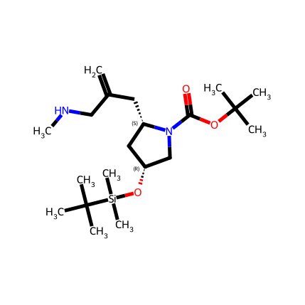 C=C(CNC)C[C@H]1C[C@@H](O[Si](C)(C)C(C)(C)C)CN1C(=O)OC(C)(C)C